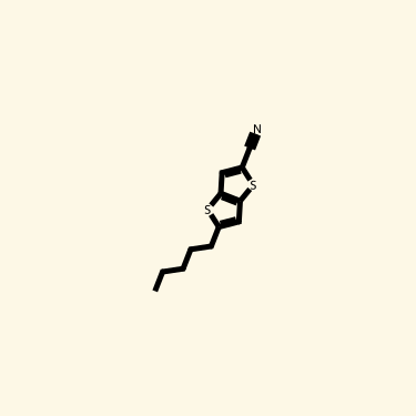 CCCCCc1cc2sc(C#N)cc2s1